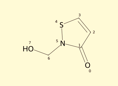 O=c1ccsn1CO